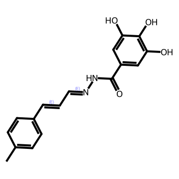 Cc1ccc(/C=C/C=N/NC(=O)c2cc(O)c(O)c(O)c2)cc1